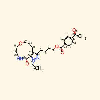 CCn1nc(CCCCOC(=O)c2ccc(C(C)=O)cc2)c2c1C(=O)NCCCOCCC2